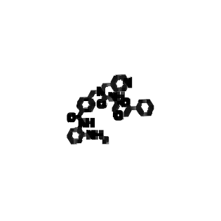 Nc1ccccc1NC(=O)c1ccc(CN(Cc2ccncc2)C(=O)NC2=COC=C(C3=CC=CCC3)O2)cc1